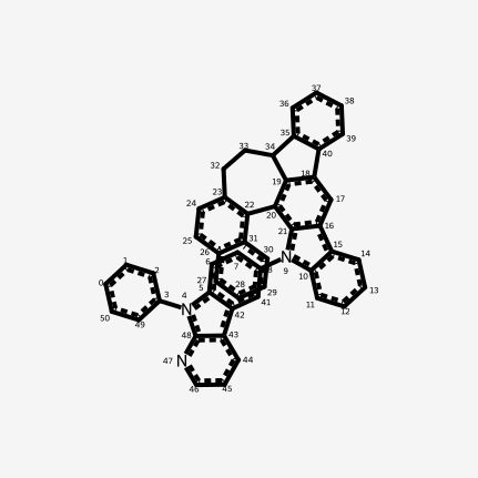 c1ccc(-n2c3ccc(-n4c5ccccc5c5cc6c7c(c54)-c4c(ccc5ccccc45)CCC7c4ccccc4-6)cc3c3cccnc32)cc1